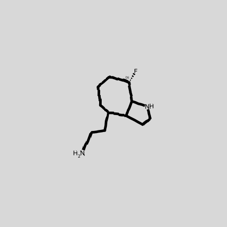 NCCC1CCC[C@H](F)C2NCCC12